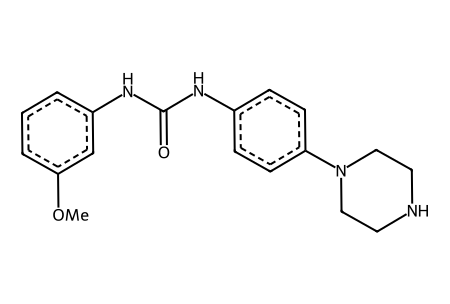 COc1cccc(NC(=O)Nc2ccc(N3CCNCC3)cc2)c1